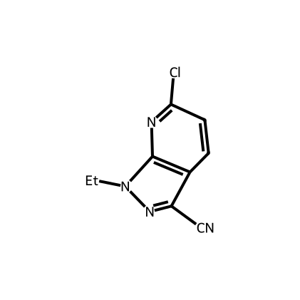 CCn1nc(C#N)c2ccc(Cl)nc21